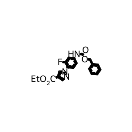 CCOC(=O)c1cnn(-c2ccc(NC(=O)OCc3ccccc3)cc2F)c1